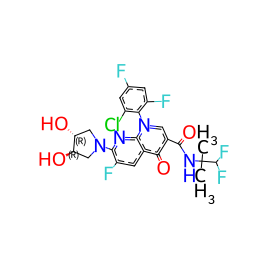 CC(C)(NC(=O)c1cn(-c2c(F)cc(F)cc2Cl)c2nc(N3C[C@@H](O)[C@H](O)C3)c(F)cc2c1=O)C(F)F